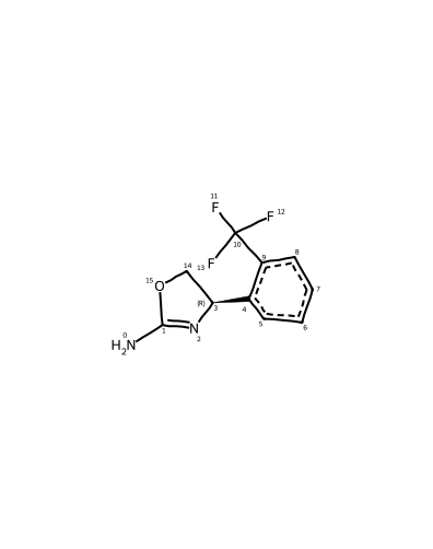 NC1=N[C@H](c2ccccc2C(F)(F)F)CO1